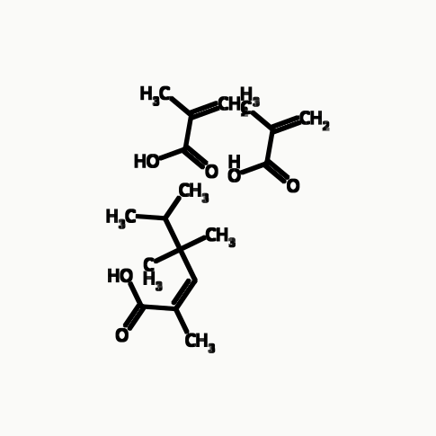 C=C(C)C(=O)O.C=C(C)C(=O)O.CC(=CC(C)(C)C(C)C)C(=O)O